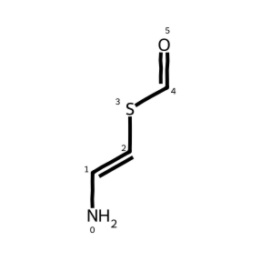 N/C=C/SC=O